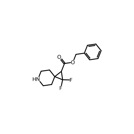 O=C(OCc1ccccc1)C1C(F)(F)C12CCNCC2